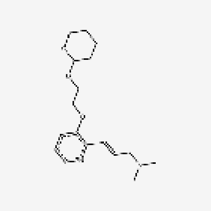 CN(C)CC=Cc1ncccc1OCCOC1CCCCO1